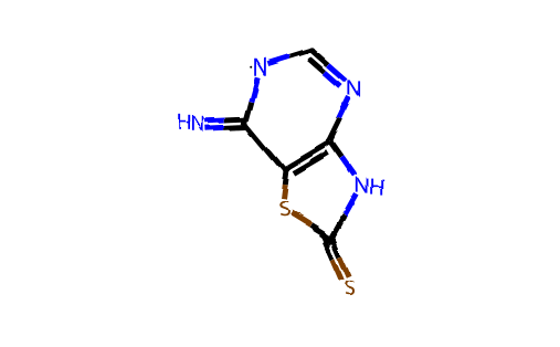 N=C1[N]C=Nc2[nH]c(=S)sc21